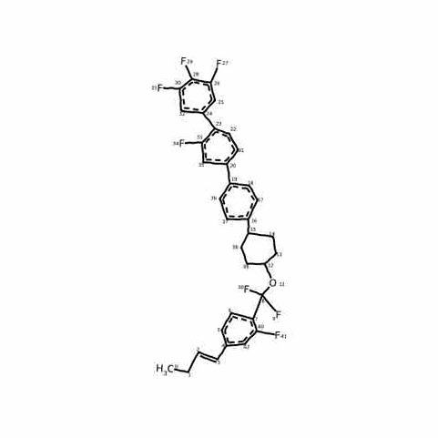 CC/C=C/c1ccc(C(F)(F)OC2CCC(c3ccc(-c4ccc(-c5cc(F)c(F)c(F)c5)c(F)c4)cc3)CC2)c(F)c1